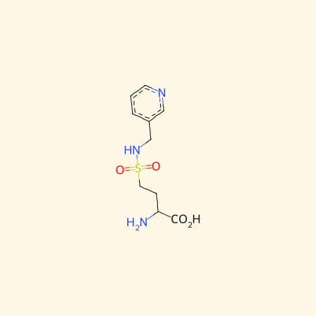 NC(CCS(=O)(=O)NCc1cccnc1)C(=O)O